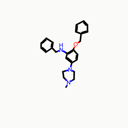 CN1CCN(c2ccc(OCc3ccccc3)c(NCc3ccccc3)c2)CC1